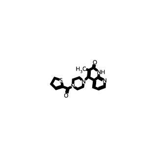 Cc1c(N2CCN(C(=O)C3=CCCS3)CC2)c2cccnc2[nH]c1=O